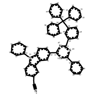 N#Cc1ccc2c(c1)c1cc(-c3nc(-c4ccccc4)nc(-c4cccc(C(c5ccccc5)(c5ccccc5)c5ccccc5)c4)n3)ccc1n2-c1ccccc1